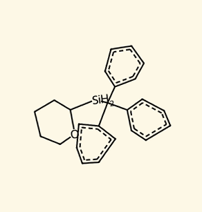 c1ccc(C([SiH2]C2CCCCO2)(c2ccccc2)c2ccccc2)cc1